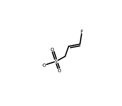 [O]S(=O)(=O)CC=CF